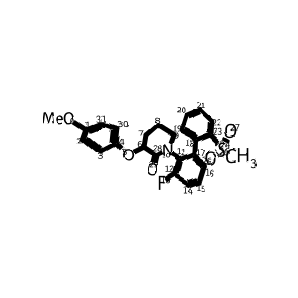 COc1ccc(OC2CCCN(c3c(F)cccc3-c3ccccc3S(C)(=O)=O)C2=O)cc1